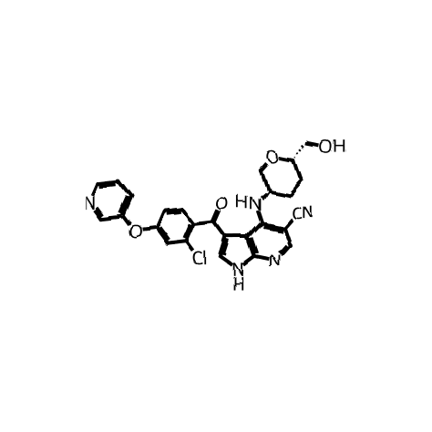 N#Cc1cnc2[nH]cc(C(=O)c3ccc(Oc4cccnc4)cc3Cl)c2c1N[C@@H]1CC[C@@H](CO)OC1